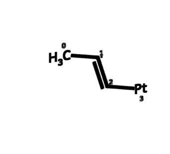 C[C]=[CH][Pt]